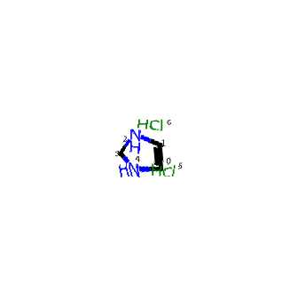 C1=CNCN1.Cl.Cl